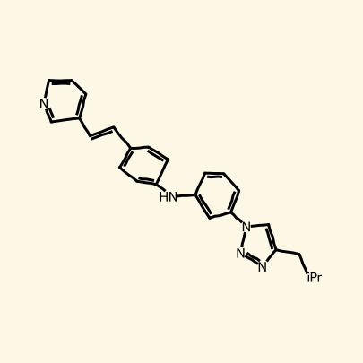 CC(C)Cc1cn(-c2cccc(Nc3ccc(/C=C/c4cccnc4)cc3)c2)nn1